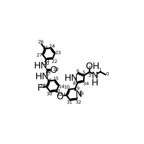 CCNC(O)c1c[nH]c(-c2cc(Oc3ccc(NC(=O)Nc4cccc(C)c4)c(F)c3)ccn2)c1